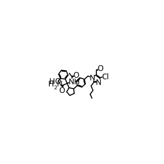 CCCCc1nc(Cl)c(C=O)n1Cc1ccc(C2CCCC2C(NC(C)=O)(C(N)=O)c2ccccc2O)cc1